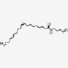 CCCCCCCC/C=C\CCCCCCCC(=O)NCCC[C]=O